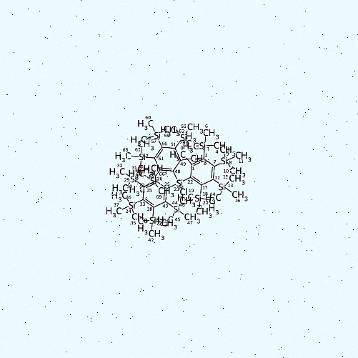 Cc1c([Si](C)(C)C)c([Si](C)(C)C)c([Si](C)(C)C)c([Si](C)(C)C)c1[Si](Cl)(c1c(C)c([Si](C)(C)C)c([Si](C)(C)C)c([Si](C)(C)C)c1[Si](C)(C)C)c1c(C)c([Si](C)(C)C)c([Si](C)(C)C)c([Si](C)(C)C)c1[Si](C)(C)C